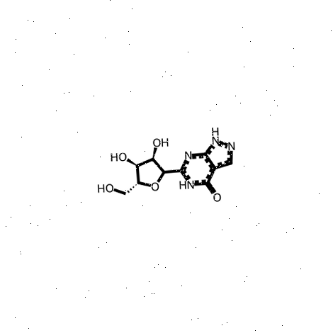 O=c1[nH]c(C2O[C@H](CO)[C@@H](O)[C@H]2O)nc2[nH]ncc12